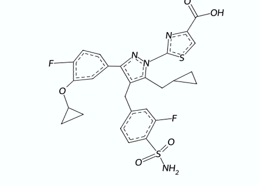 NS(=O)(=O)c1ccc(Cc2c(-c3ccc(F)c(OC4CC4)c3)nn(-c3nc(C(=O)O)cs3)c2CC2CC2)cc1F